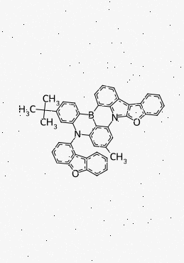 Cc1cc2c3c(c1)-n1c4oc5ccccc5c4c4cccc(c41)B3c1ccc(C(C)(C)C)cc1N2c1cccc2oc3ccccc3c12